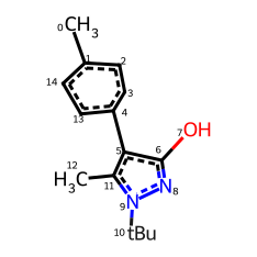 Cc1ccc(-c2c(O)nn(C(C)(C)C)c2C)cc1